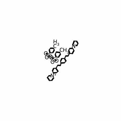 C(=Cc1ccc(-[n+]2ccccc2)cc1)c1ccc(C=Cc2ccc(-[n+]3ccccc3)cc2)cc1.Cc1ccc(S(=O)(=O)[O-])cc1.Cc1ccc(S(=O)(=O)[O-])cc1